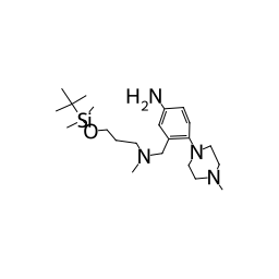 CN1CCN(c2ccc(N)cc2CN(C)CCCO[Si](C)(C)C(C)(C)C)CC1